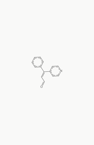 O=CC=C(c1ccccc1)c1ccncc1